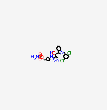 NS(=O)(=O)OC[C@@H]1CC[C@H](Nc2ncncc2C(=O)c2cn(Cc3cc(Cl)ccc3Cl)c3ccccc23)C1